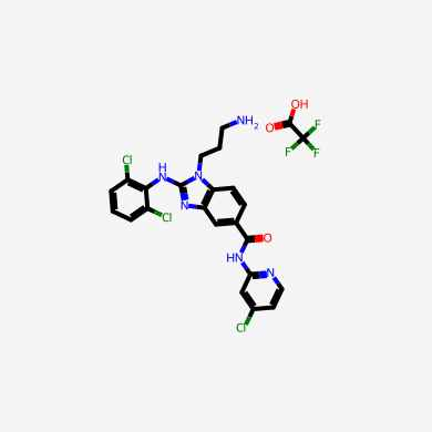 NCCCn1c(Nc2c(Cl)cccc2Cl)nc2cc(C(=O)Nc3cc(Cl)ccn3)ccc21.O=C(O)C(F)(F)F